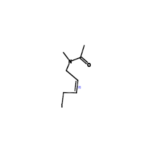 CC(=O)N(C)C/C=C\CI